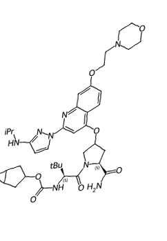 CC(C)Nc1ccn(-c2cc(OC3C[C@@H](C(N)=O)N(C(=O)[C@@H](NC(=O)OC4CC5CC5C4)C(C)(C)C)C3)c3ccc(OCCN4CCOCC4)cc3n2)n1